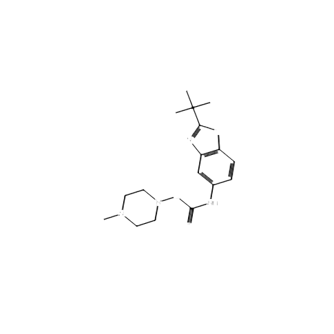 CN1CCN(SC(=O)Nc2ccc3oc(C(C)(C)C)nc3c2)CC1